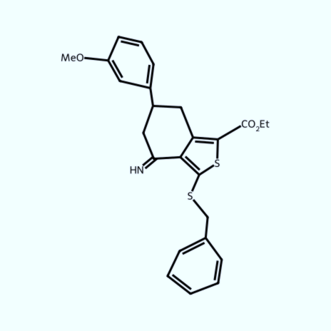 CCOC(=O)c1sc(SCc2ccccc2)c2c1CC(c1cccc(OC)c1)CC2=N